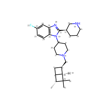 C[C@@H]1C2C[C@@H](CN3CCC(n4c([C@@H]5CCCNC5)nc5cc(F)ccc54)CC3)[C@H]2C1(C)C